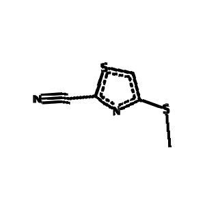 CSc1csc(C#N)n1